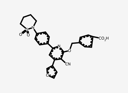 N#Cc1c(-c2ccoc2)cc(-c2ccc(N3CCCCS3(=O)=O)cc2)nc1OCc1ccc(C(=O)O)cc1